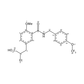 CCC(Cc1ccc(OC)c(C(=O)NCc2ccc(OC(F)(F)F)cc2)c1)C(=O)O